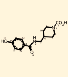 O=C(NCC1CCN(C(=O)O)CC1)c1ccc(O)cc1